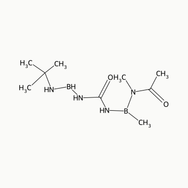 CB(NC(=O)NBNC(C)(C)C)N(C)C(C)=O